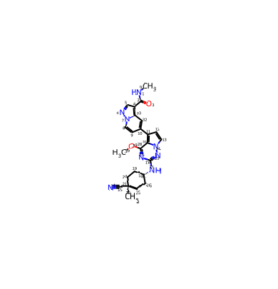 CNC(=O)c1cnn2ccc(-c3ccn4nc(N[C@H]5CC[C@@](C)(C#N)CC5)nc(OC)c34)cc12